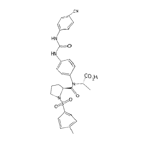 Cc1ccc(S(=O)(=O)N2CCC[C@H]2C(=O)N(c2ccc(NC(=O)Nc3ccc(C#N)cc3)cc2)[C@@H](C)C(=O)O)cc1